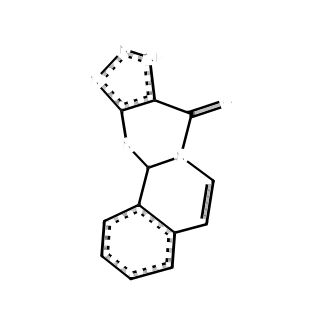 O=C1c2[nH]nnc2NC2c3ccccc3C=CN12